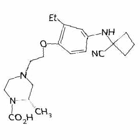 CCc1cc(NC2(C#N)CCC2)ccc1OCCN1CCN(C(=O)O)[C@@H](C)C1